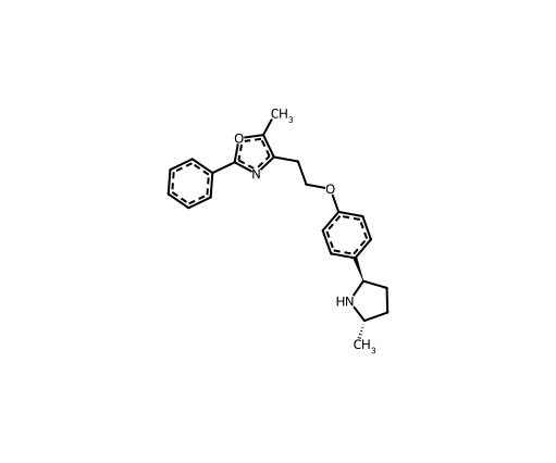 Cc1oc(-c2ccccc2)nc1CCOc1ccc([C@H]2CC[C@H](C)N2)cc1